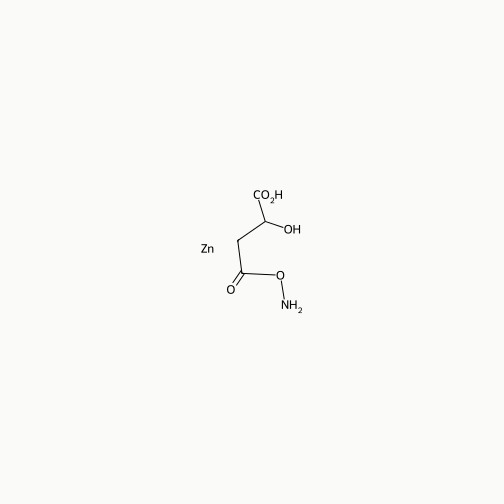 NOC(=O)CC(O)C(=O)O.[Zn]